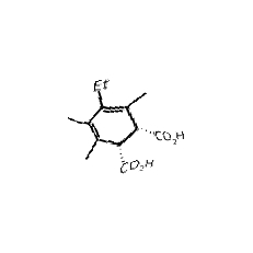 CCC1=C(C)[C@H](C(=O)O)[C@H](C(=O)O)C(C)=C1C